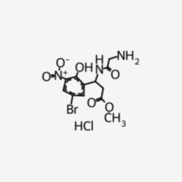 COC(=O)CC(NC(=O)CN)c1cc(Br)cc([N+](=O)[O-])c1O.Cl